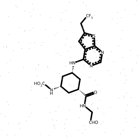 O=CCNC(=O)[C@@H]1C[C@H](NC(=O)O)C[C@H](Nc2ncnc3sc(CC(F)(F)F)cc23)C1